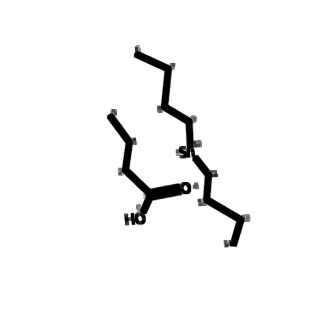 CCCC(=O)O.CCC[CH2][Sn][CH2]CCC